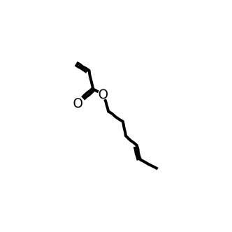 C=CC(=O)OCCCC=CC